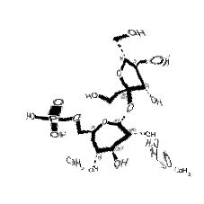 O.O.O=P(O)(O)OC[C@H]1O[C@H](O[C@]2(CO)O[C@H](CO)[C@@H](O)[C@@H]2O)[C@H](O)[C@@H](O)[C@@H]1O.[CaH2].[CaH2]